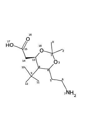 CC1(C)OC(CCN)C(C(C)(C)C)[C@@H](CC(=O)O)O1